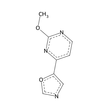 COc1nccc(-c2cnco2)n1